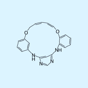 C1=C\COc2cccc(c2)Nc2cc(ncn2)Nc2ccccc2O\C=C/1